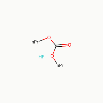 CCCOC(=O)OCCC.F